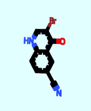 N#Cc1ccc2[nH]cc(Br)c(=O)c2c1